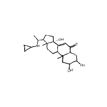 CC(NC1CC1)C1CC[C@@]2(O)C3=CC(=O)C4CC(O)C(O)CC4(C)C3CCC12C